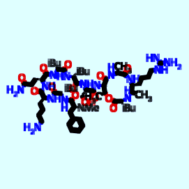 CC[C@H](C)[C@H](NC(=O)[C@@H](Cc1ccccc1)NC)C(=O)N[C@@H](CCCCN)C(=O)N[C@H](CCC(N)=O)C(=O)N[C@@H](C(=O)N[C@H](C(=O)N[C@@H](CO)C(=O)N[C@H]1C(=O)N[C@@H](C)C(=O)N[C@@H](CCCCNC(=N)N)C(C)N[C@@H]([C@@H](C)CC)C(=O)O[C@H]1C)[C@@H](C)CC)[C@@H](C)CC